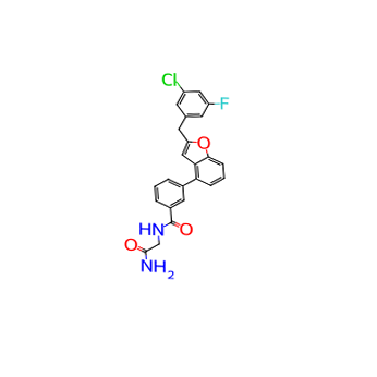 NC(=O)CNC(=O)c1cccc(-c2cccc3oc(Cc4cc(F)cc(Cl)c4)cc23)c1